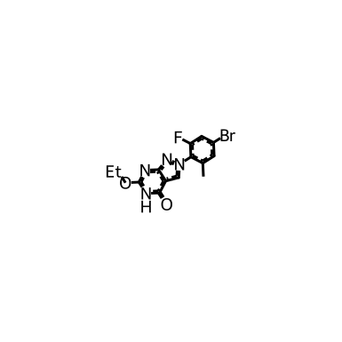 CCOc1nc2nn(-c3c(C)cc(Br)cc3F)cc2c(=O)[nH]1